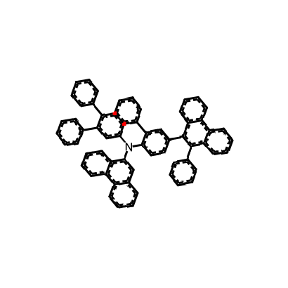 c1ccc(-c2ccc(N(c3ccc(-c4c(-c5ccccc5)c5ccccc5c5ccccc45)cc3-c3ccccc3)c3cc4ccccc4c4ccccc34)cc2-c2ccccc2)cc1